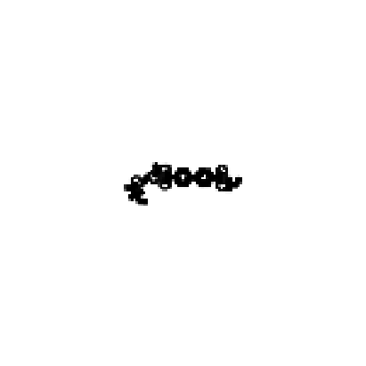 CCC(C)(C)OC(=O)c1ccc(-c2ccc(C(=O)OC(C)OCCOC(C)C(C)(C)CC)cc2)cc1